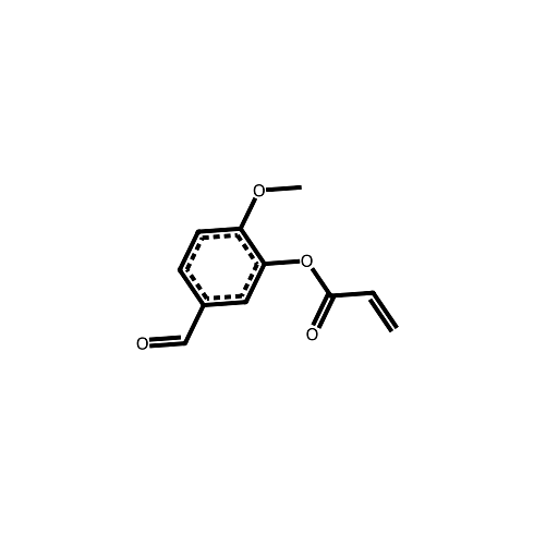 C=CC(=O)Oc1cc(C=O)ccc1OC